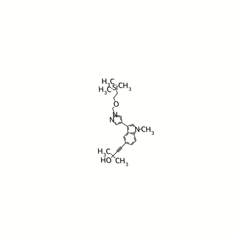 Cn1cc(-c2cnn(COCC[Si](C)(C)C)c2)c2cc(C#CC(C)(C)O)ccc21